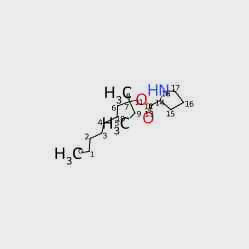 CCCCCCCC(C)(CC)OC(=O)C1CCCN1